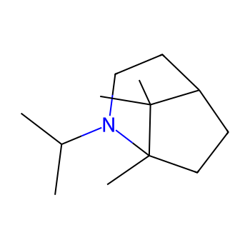 CC(C)N1CCC2CCC1(C)C2(C)C